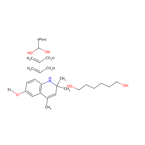 C=CC(=O)O.C=CC(=O)O.CCCCCC(O)O.CCOc1ccc2c(c1)C(C)=CC(C)(C)N2.OCCCCCCO